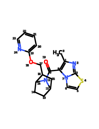 Cc1nc2sccn2c1C(=O)N1C2CCC1C(COc1ccccn1)C2